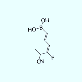 CC(C#N)/C(F)=C\C=C\B(O)O